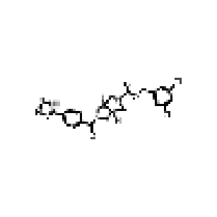 O=C(OCc1cc(Cl)cc(Cl)c1)N1C[C@@H]2CN(C(=O)c3ccc(-c4nnn[nH]4)cc3)C[C@H]2C1